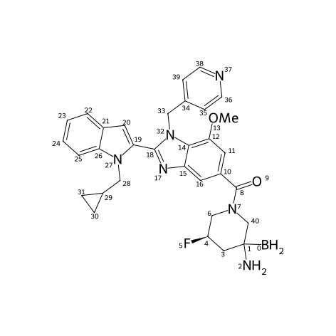 BC1(N)C[C@@H](F)CN(C(=O)c2cc(OC)c3c(c2)nc(-c2cc4ccccc4n2CC2CC2)n3Cc2ccncc2)C1